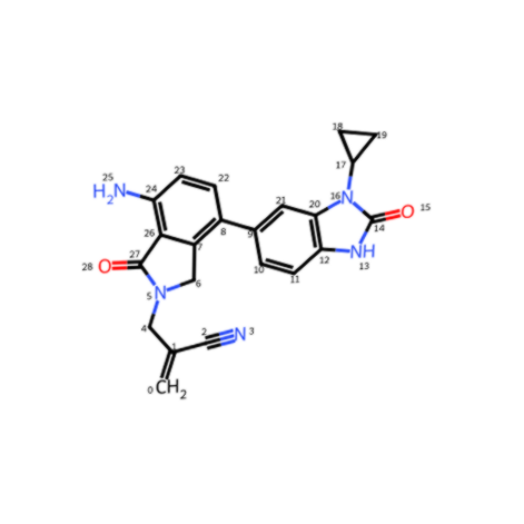 C=C(C#N)CN1Cc2c(-c3ccc4[nH]c(=O)n(C5CC5)c4c3)ccc(N)c2C1=O